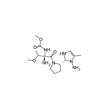 COC(=O)N[C@](N)(C(=O)N1CCC[C@H]1C1NC=C(C)N1N)C(C)OC